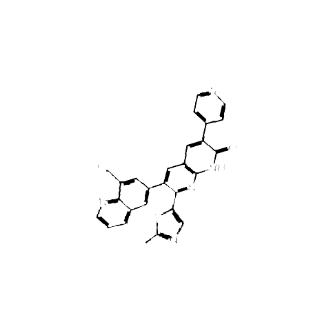 Cc1ncc(-c2nc3[nH]c(=O)c(-c4ccncc4)cc3cc2-c2cc(Cl)c3ncccc3c2)s1